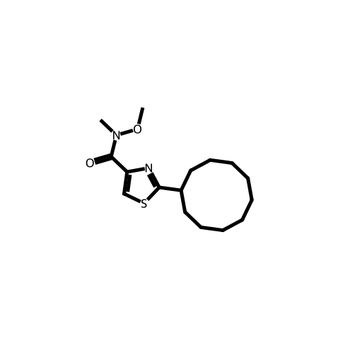 CON(C)C(=O)c1csc(C2CCCCCCCCC2)n1